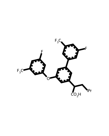 CC(C)CC(C(=O)O)c1cc(Oc2cc(F)cc(C(F)(F)F)c2)cc(-c2cc(F)cc(C(F)(F)F)c2)c1